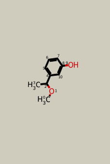 COC(C)c1cccc(O)c1